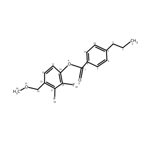 CCCc1ccc(C(=O)Oc2ccc(COC)c(F)c2F)cc1